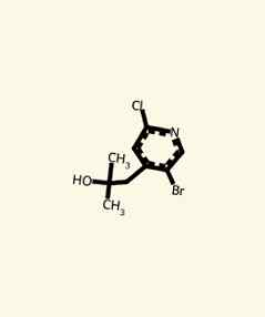 CC(C)(O)Cc1cc(Cl)ncc1Br